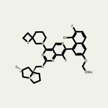 CCc1c(F)ccc2cc(OCOC)cc(-c3ncc4c(N5CCCC6(CCS6)C5)nc(OC[C@@]56CCCN5C[C@H](F)C6)nc4c3F)c12